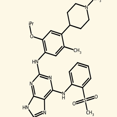 Cc1cc(Nc2nc(Nc3ccccc3S(C)(=O)=O)c3nc[nH]c3n2)c(OC(C)C)cc1C1CCN(C)CC1